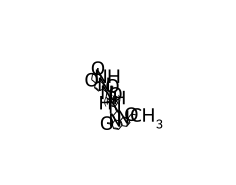 COc1ccc2ccc(=O)n(CCN3C[C@@H]4CN(c5ccc6c(n5)NC(=O)CO6)C(=O)O[C@H]4C3)c2n1